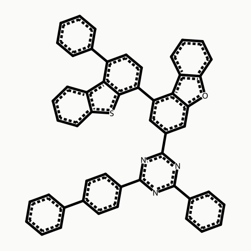 c1ccc(-c2ccc(-c3nc(-c4ccccc4)nc(-c4cc(-c5ccc(-c6ccccc6)c6c5sc5ccccc56)c5c(c4)oc4ccccc45)n3)cc2)cc1